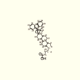 C[C@H](CCC(=O)O)[C@H]1CCC2C3CCC4C[C@H](O[Si](c5ccccc5)(c5ccccc5)C(C)(C)C)CC[C@]4(C)C3CC[C@@]21C